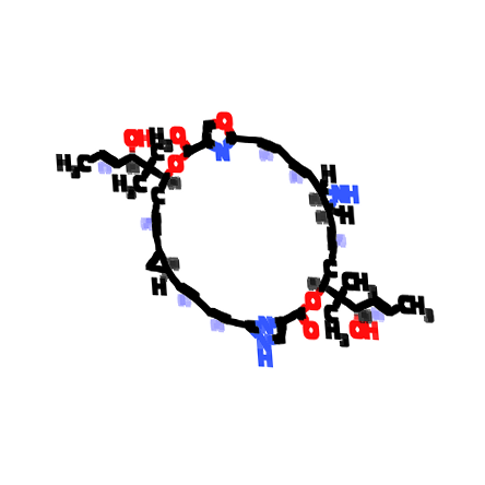 C/C=C/[C@H](O)C(C)(C)[C@@H]1C/C=C\[C@H]2N[C@H]2/C=C/C=C\c2nc(co2)C(=O)O[C@H](C(C)(C)[C@@H](O)/C=C/C)C/C=C\C2C[C@@H]2/C=C/C=C\c2nc(c[nH]2)C(=O)O1